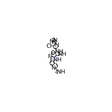 N=C/C(C(=O)Nc1cnc(-n2nccn2)c(Cl)c1)=C(\Nc1cccc2nc(C3CCN3)ccc12)C(F)(F)F